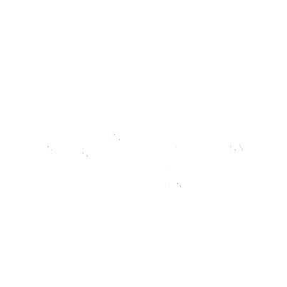 CC(=O)N1CCN(c2ccc(C(=O)Nc3ccc(I)c(NC(=O)c4ccccc4F)c3)cn2)CC1